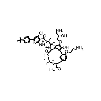 C[C@@H]1NC(=O)[C@@H](N(C)C(=O)[C@H](C)NC(=O)c2c(Cl)cc(-c3ccc(C(C)(C)C)cc3)nc2N)c2cc(OC[C@H](O)CN)c(O)c(c2)-c2cc(ccc2OCCCN)C[C@@H](C(=O)O)NC1=O